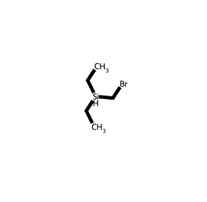 CC[SiH](CC)CBr